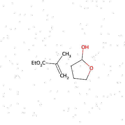 C=C(C)C(=O)OCC.OC1CCCO1